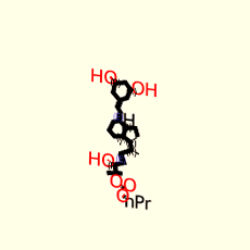 CCCOC(=O)OC(C)(C)[C@H](O)/C=C/[C@@H](C)[C@H]1CC[C@H]2/C(=C/C=C3C[C@@H](O)C[C@H](O)C3)CCC[C@]12C